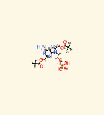 CC(C)(C)C(=O)OCc1nc(N)c2nc(COC(=O)C(C)(C)C)n(CCOCP(=O)(O)O)c2n1